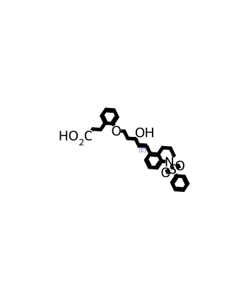 O=C(O)CCc1ccccc1OCCC(O)/C=C/c1cccc2c1CCCN2S(=O)(=O)c1ccccc1